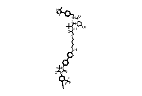 Cc1ncsc1-c1ccc(CNC(=O)[C@@H]2C[C@@H](O)CN2C(=O)[C@@H](NC(=O)COCCCCNc2ccc(-c3ccc(N4C(=S)N(c5ccc(C#N)c(C(F)(F)F)c5)C(=O)C4(C)C)cc3)cn2)C(C)(C)C)cc1